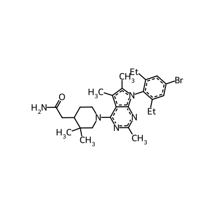 CCc1cc(Br)cc(CC)c1-n1c(C)c(C)c2c(N3CCC(CC(N)=O)C(C)(C)C3)nc(C)nc21